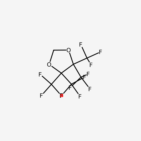 FC(F)(F)C1(C(F)(F)F)OCOC1(C(F)(F)F)C(F)(F)F